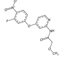 COCC(=O)Nc1cc(Oc2ccc([N+](=O)[O-])c(F)c2)ccn1